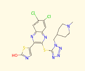 CN1CCC(Cn2nnnc2Sc2nc3cc(Cl)c(Cl)cc3nc2-c2cnc(O)s2)CC1